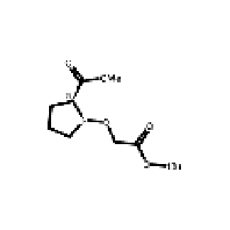 COC(=O)[C@@H]1CCCN1OCC(=O)OC(C)(C)C